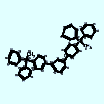 C[Si](c1ccccc1)(c1ccccc1)c1ccc(-c2[c]c(-c3ccc([Si](C)(c4ccccc4)c4ccccc4)cc3)ccc2)cc1